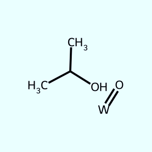 CC(C)O.[O]=[W]